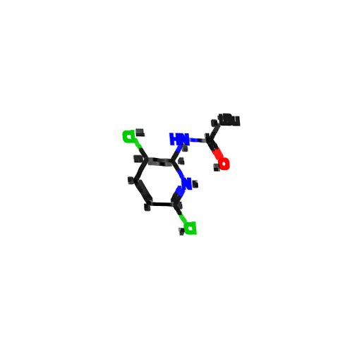 CC(C)(C)C(=O)Nc1nc(Cl)ccc1Cl